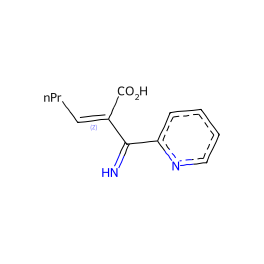 CCC/C=C(/C(=N)c1ccccn1)C(=O)O